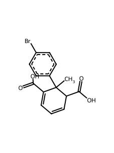 CC1(c2ccc(Br)cc2)C(C(=O)O)=CC=CC1C(=O)O